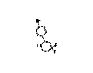 FC1(F)CCNC(c2ccc(Br)cc2)C1